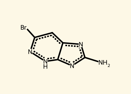 Nc1nc2cc(Br)n[nH]c-2n1